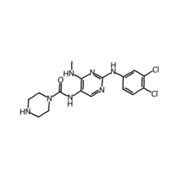 CNc1nc(Nc2ccc(Cl)c(Cl)c2)ncc1NC(=O)N1CCNCC1